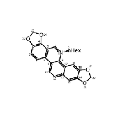 CCCCCC[n+]1cc2c3c(ccc2c2ccc4cc5c(cc4c21)OCO5)OCO3